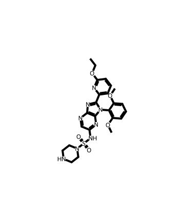 CCOc1cccc(-c2nc3ncc(NS(=O)(=O)N4CCNCC4)nc3n2-c2c(OC)cccc2OC)n1